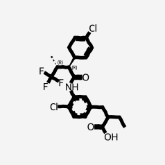 CCC(Cc1ccc(Cl)c(NC(=O)[C@H](C2C=CC(Cl)=CC2)[C@@H](C)C(F)(F)F)c1)C(=O)O